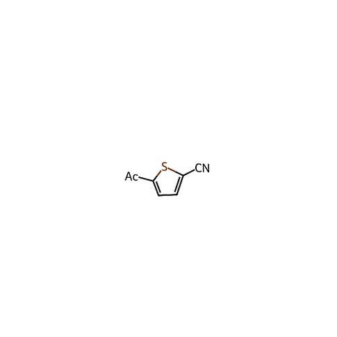 CC(=O)c1ccc(C#N)s1